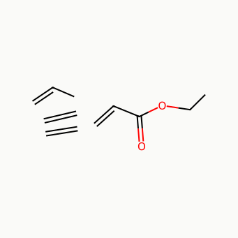 C=C.C=C.C=CC.C=CC(=O)OCC